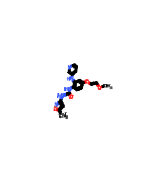 COCCOc1ccc(NC(=O)Nc2cc(C)on2)c(Nc2cccnc2)c1